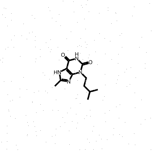 Cc1nc2c([nH]1)c(=O)[nH]c(=O)n2CCC(C)C